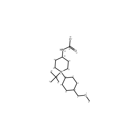 COCC1CCC([N+]2(C(C)(C)C)CCC(NC(=O)[O-])CC2)CC1